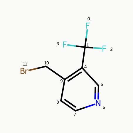 FC(F)(F)c1cnccc1CBr